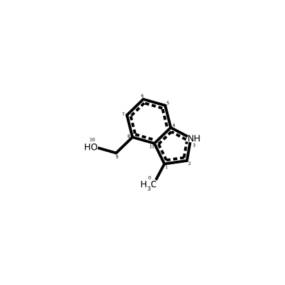 Cc1c[nH]c2cccc(CO)c12